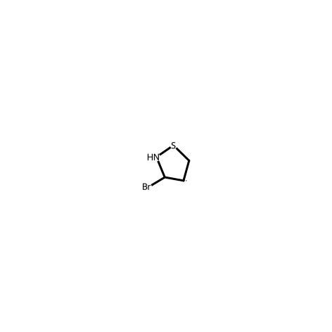 BrC1[CH]CSN1